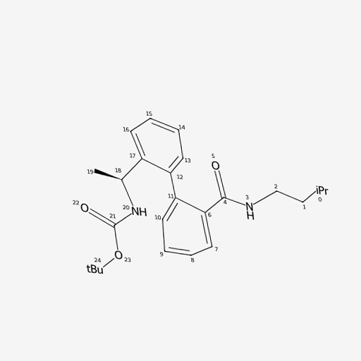 CC(C)CCNC(=O)c1ccccc1-c1ccccc1[C@H](C)NC(=O)OC(C)(C)C